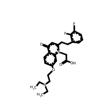 CCN(CC)CCOc1ccc2c(=O)cc(CCc3cccc(F)c3F)n(CC(=O)O)c2c1